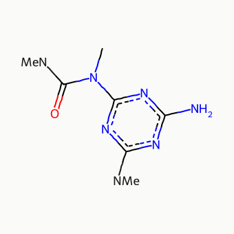 CNC(=O)N(C)c1nc(N)nc(NC)n1